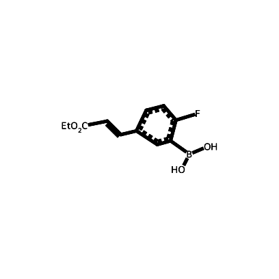 CCOC(=O)C=Cc1ccc(F)c(B(O)O)c1